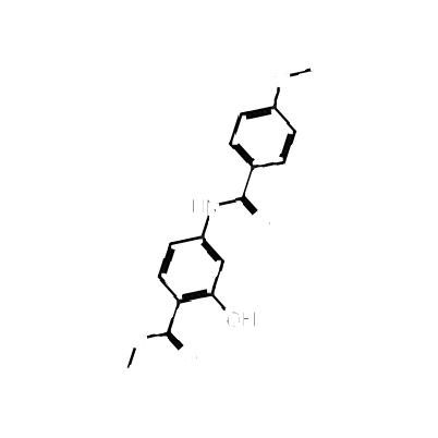 COC(=O)c1ccc(NC(=O)c2ccc(OC)cc2)cc1O